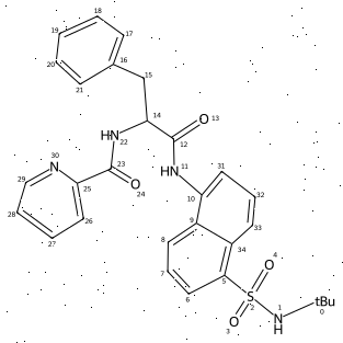 CC(C)(C)NS(=O)(=O)c1cccc2c(NC(=O)C(Cc3ccccc3)NC(=O)c3ccccn3)cccc12